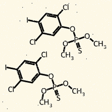 COP(=S)(OC)Oc1cc(Cl)c(I)cc1Cl.COP(=S)(OC)Oc1cc(Cl)c(I)cc1Cl